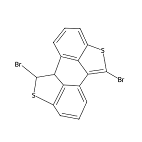 Brc1sc2cccc3c2c1-c1cccc2c1C3C(Br)S2